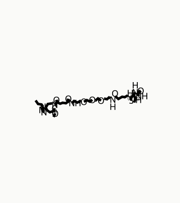 CCCn1nnc2c1CCN(C(=O)CCCC(=O)NCCCOCCOCCOCCCNC(=O)CCCC[C@@H]1SC[C@@H]3NC(=O)N[C@@H]31)C[C@H](OC)C2